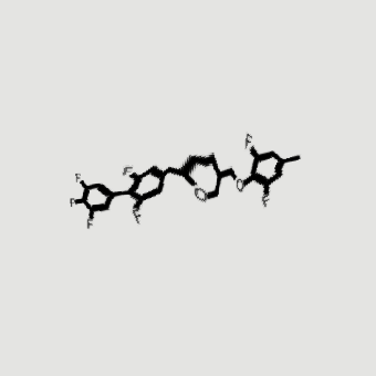 Cc1cc(F)c(OCC2CCC(c3cc(F)c(-c4cc(F)c(F)c(F)c4)c(F)c3)OC2)c(F)c1